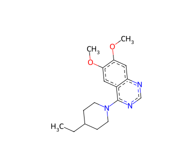 CCC1CCN(c2ncnc3cc(OC)c(OC)cc23)CC1